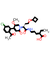 C=C/C(=C\C=C\NC(=O)[C@@H](CCOC1CCC1)n1cc(OC)c(-c2cc(Cl)ccc2C(C)=O)cc1=O)C(=O)O